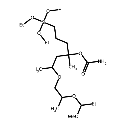 CCO[Si](CCCC(C)(CC(C)OCC(C)OC(CC)OC)OC(N)=O)(OCC)OCC